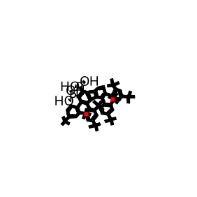 CC(C)(C)c1ccc(-c2ccc3c(c2-c2ccc(C(C)(C)C)cc2C(C)(C)C)-c2c(-c4ccc(C(C)(C)C)cc4C(C)(C)C)c(-c4ccc(C(C)(C)C)cc4C(C)(C)C)c(P(O)O)c(P(O)O)c2-3)c(C(C)(C)C)c1